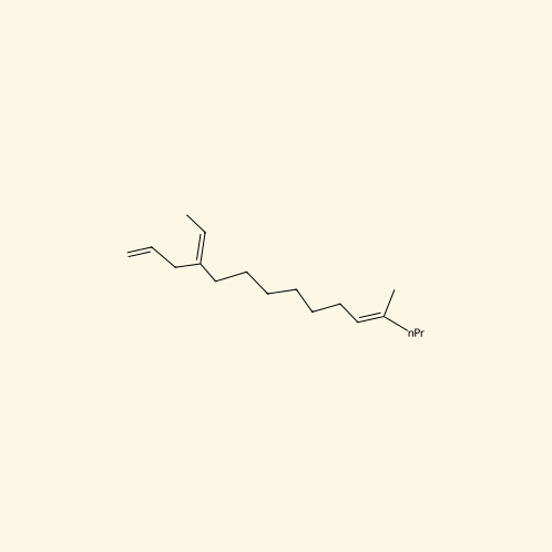 C=CCC(=CC)CCCCCCC=C(C)CCC